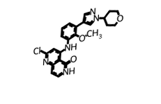 COc1c(Nc2cc(Cl)nc3cc[nH]c(=O)c23)cccc1-c1cnn(C2CCOCC2)c1